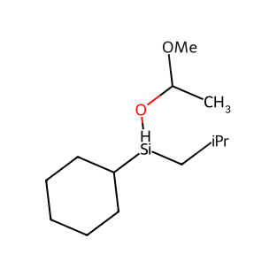 COC(C)O[SiH](CC(C)C)C1CCCCC1